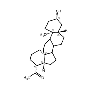 CC(=O)[C@@H]1CCC[C@]23CCC4C(CC[C@H]5C[C@H](O)CC[C@]45C)C2CC[C@H]13